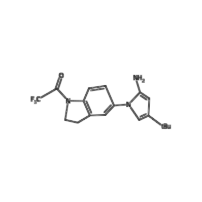 CC(C)(C)c1cc(N)n(-c2ccc3c(c2)CCN3C(=O)C(F)(F)F)c1